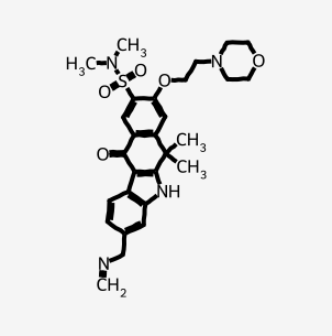 C=NCc1ccc2c3c([nH]c2c1)C(C)(C)c1cc(OCCN2CCOCC2)c(S(=O)(=O)N(C)C)cc1C3=O